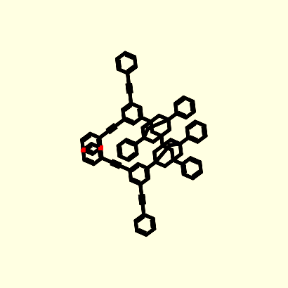 C(#Cc1cc(C#Cc2ccccc2)cc(C23CC4(c5ccccc5)CC(c5ccccc5)(C2)CC(C25CC6(c7ccccc7)CC(c7ccccc7)(CC(c7cc(C#Cc8ccccc8)cc(C#Cc8ccccc8)c7)(C6)C2)C5)(C4)C3)c1)c1ccccc1